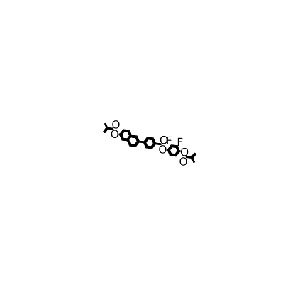 C=C(C)C(=O)Oc1ccc2cc(-c3ccc(C(=O)Oc4ccc(OC(=O)C(=C)C)c(F)c4F)cc3)ccc2c1